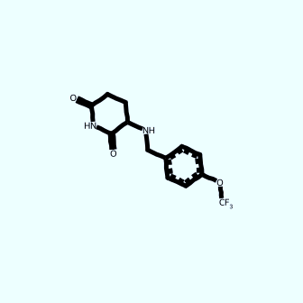 O=C1CCC(NCc2ccc(OC(F)(F)F)cc2)C(=O)N1